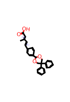 CC(/C=C/c1ccc(C2OCC(c3ccccc3)(c3ccccc3)CO2)cc1)=C\C(=O)O